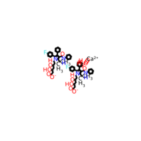 CC(C)c1c(C(=O)Nc2ccccc2)c(-c2ccccc2)c(-c2ccc(F)cc2)n1CC[C@@H](O)C[C@@H](O)CC(=O)[O-].CC(C)c1c(C(=O)Nc2ccccc2)c(-c2ccccc2)c(-c2ccc(F)cc2)n1CC[C@@H](O)C[C@@H](O)CC(=O)[O-].O.O.O.[Ca+2]